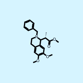 COC(=O)[C@@H](C)C1c2cc(OC)c(OC)cc2CCN1Cc1ccccc1